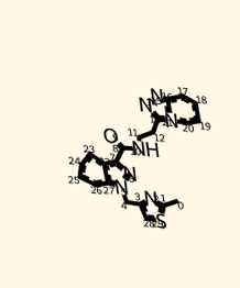 Cc1nc(Cn2nc(C(=O)NCCc3nnc4ccccn34)c3ccccc32)cs1